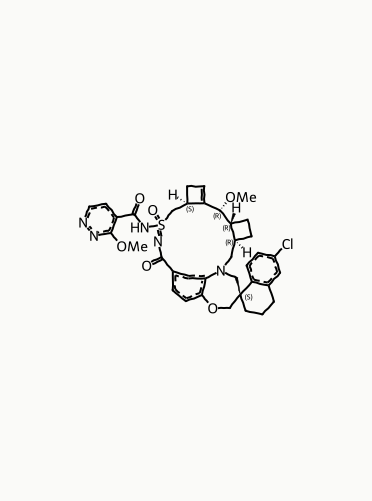 COc1nnccc1C(=O)NS1(=O)=NC(=O)c2ccc3c(c2)N(C[C@@H]2CC[C@H]2[C@@H](OC)C2=CC[C@@H]2C1)C[C@@]1(CCCc2cc(Cl)ccc21)CO3